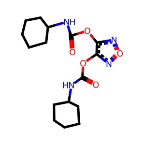 O=C(NC1CCCCC1)Oc1nonc1OC(=O)NC1CCCCC1